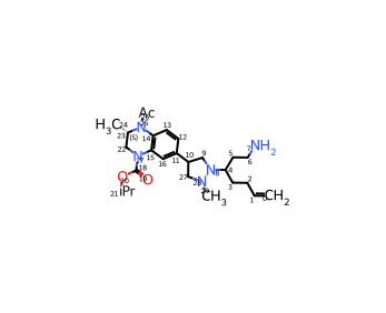 C=CCCC(CCN)N1CC(c2ccc3c(c2)N(C(=O)OC(C)C)C[C@H](C)N3C(C)=O)CN1C